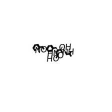 CC(C)CNC[C@H](O)[C@H](Cc1ccc(OCc2ccccn2)cc1)NC(=O)O